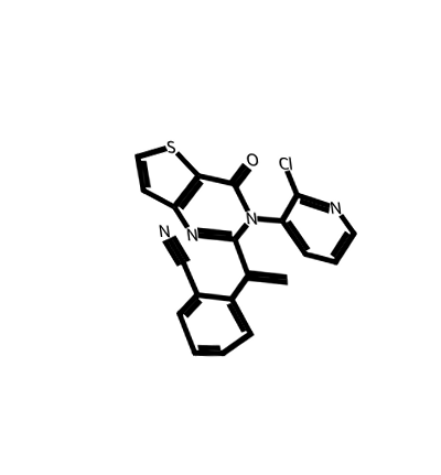 C=C(c1ccccc1C#N)c1nc2ccsc2c(=O)n1-c1cccnc1Cl